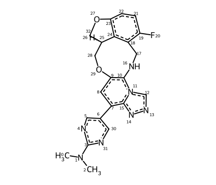 CN(C)c1ncc(-c2cc3c(n4cnnc24)NCc2c(F)ccc4c2[C@H](CO4)CO3)cn1